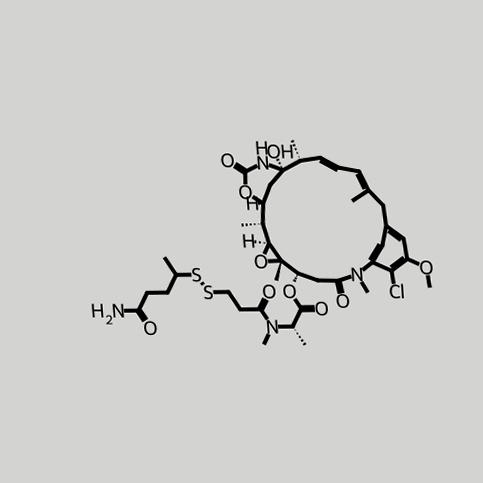 COc1cc2cc(c1Cl)N(C)C(=O)C[C@H](OC(=O)[C@H](C)N(C)C(=O)CCSSC(C)CCC(N)=O)[C@]1(C)O[C@H]1[C@H](C)[C@@H]1C[C@@](O)(NC(=O)O1)[C@H](C)/C=C/C=C(\C)C2